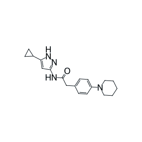 O=C(Cc1ccc(N2CCCCC2)cc1)Nc1cc(C2CC2)[nH]n1